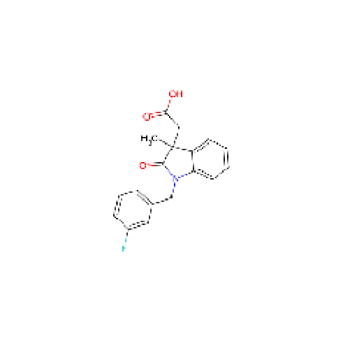 CC1(CC(=O)O)C(=O)N(Cc2cccc(F)c2)c2ccccc21